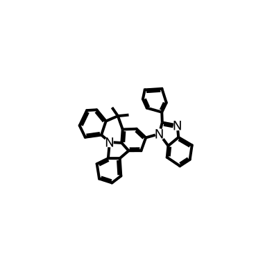 CC1(C)c2ccccc2-n2c3ccccc3c3cc(-n4c(-c5ccccc5)nc5ccccc54)cc1c32